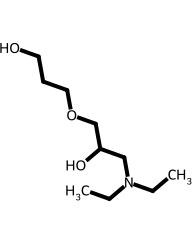 CCN(CC)CC(O)COCCCO